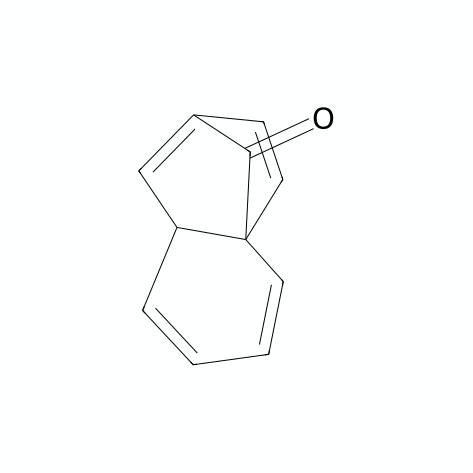 O=C1C2=CC3C=CC=CC13C=C2